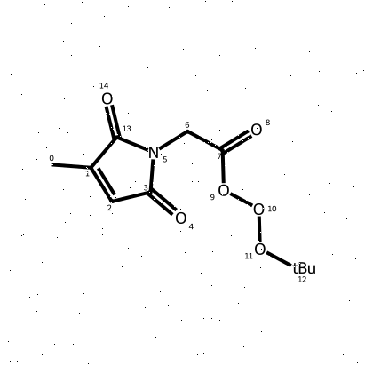 CC1=CC(=O)N(CC(=O)OOOC(C)(C)C)C1=O